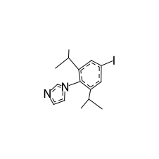 CC(C)c1cc(I)cc(C(C)C)c1-n1ccnc1